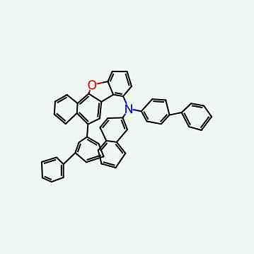 c1ccc(-c2ccc(N(c3ccc4ccccc4c3)c3cccc4oc5c6ccccc6c(-c6cccc(-c7ccccc7)c6)cc5c34)cc2)cc1